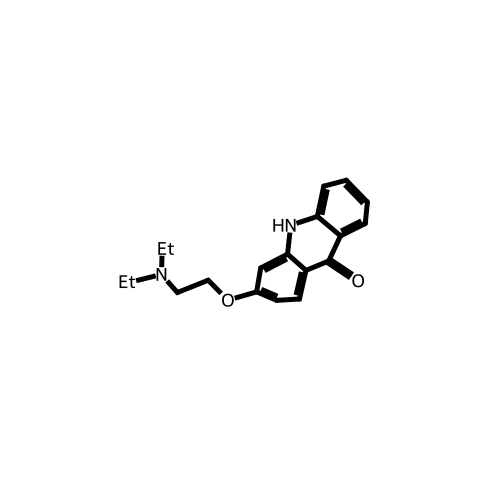 CCN(CC)CCOc1ccc2c(=O)c3ccccc3[nH]c2c1